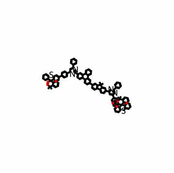 CC1(C)c2cc(-c3ccc4c5ccc(-c6nc(-c7ccccc7)cc(-c7ccc(-c8ccc9c(c8)Sc8ccccc8C98c9ccccc9C(C)(C)c9ccccc98)cc7)n6)cc5c5ccccc5c4c3)ccc2-c2ccc(-c3cc(-c4ccc(-c5cccc6c5C5(c7ccccc7S6)c6ccccc6C(C)(C)c6ccccc65)cc4)nc(-c4ccccc4)n3)cc21